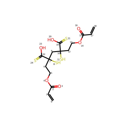 C=CC(=O)OCCC(S)(CC(S)(CCOC(=O)C=C)C(O)=S)C(O)=S